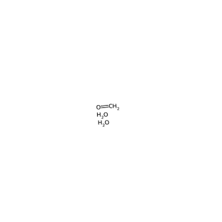 C=O.O.O